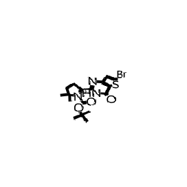 CC(C)(C)OC(=O)N1[C@H](c2nc3cc(Br)sc3c(=O)[nH]2)CCC1(C)C